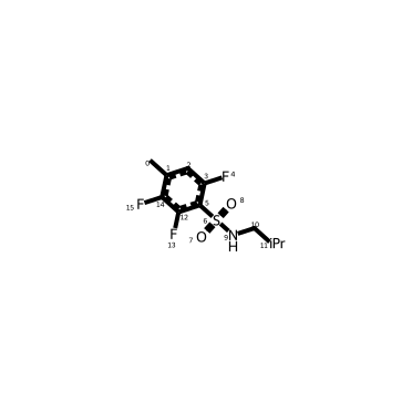 Cc1cc(F)c(S(=O)(=O)NCC(C)C)c(F)c1F